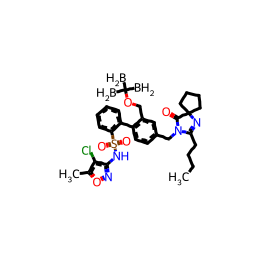 BC(B)(B)OCc1cc(CN2C(=O)C3(CCCC3)N=C2CCCC)ccc1-c1ccccc1S(=O)(=O)Nc1noc(C)c1Cl